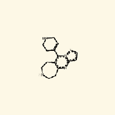 C1=C(c2c3c(nc4ccnn24)CCNCC3)CCNC1